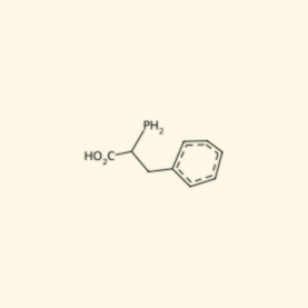 O=C(O)C(P)Cc1ccccc1